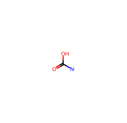 [N]C(=O)O